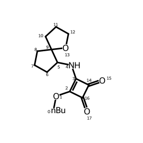 CCCCOc1c(NC2CCCC23CCCO3)c(=O)c1=O